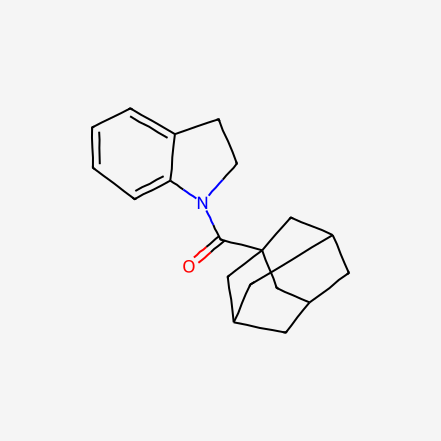 O=C(N1CCc2ccccc21)C12CC3CC(CC(C3)C1)C2